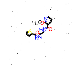 COc1ncccc1C(=O)NCc1nnc(-c2cccs2)o1